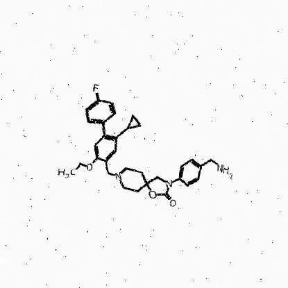 CCOc1cc(-c2ccc(F)cc2)c(C2CC2)cc1CN1CCC2(CC1)CN(c1ccc(CN)cc1)C(=O)O2